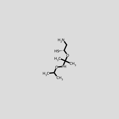 CC(C)OPC(C)(C)O[C@H](S)CN